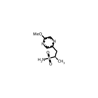 COc1cnc(C[C@@H](C)S(N)(=O)=O)cn1